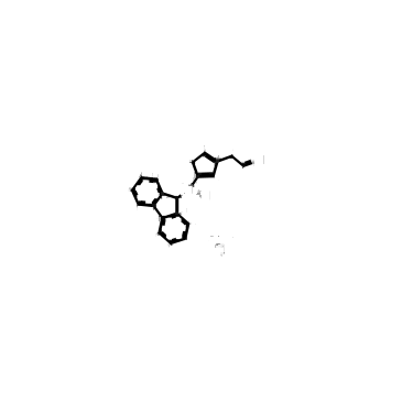 C.C=CCC1=CC[C]([Zr+2]([CH3])([CH3])[CH]2c3ccccc3-c3ccccc32)=C1.[Cl-].[Cl-]